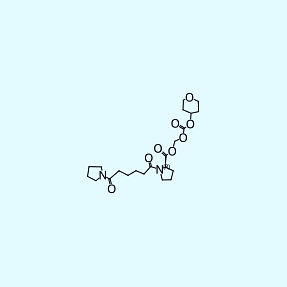 O=C(OCOC(=O)[C@H]1CCCN1C(=O)CCCCC(=O)N1CCCC1)OC1CCOCC1